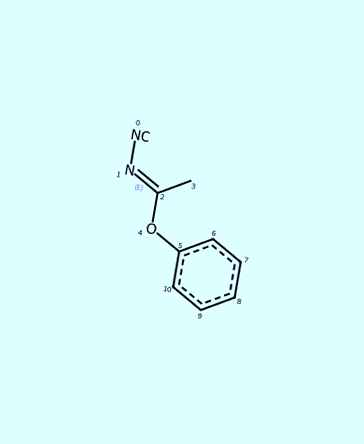 [C-]#[N+]/N=C(\C)Oc1ccccc1